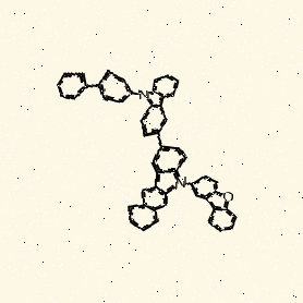 c1ccc(-c2ccc(-n3c4ccccc4c4cc(-c5ccc6c(c5)c5cc7ccccc7cc5n6-c5ccc6oc7ccccc7c6c5)ccc43)cc2)cc1